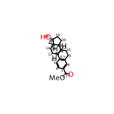 COC(=O)c1ccc2c(c1)CC[C@@H]1[C@@H]2CC[C@]2(C)[C@@H](O)CC[C@@H]12